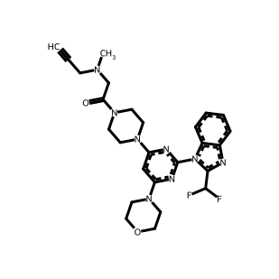 C#CCN(C)CC(=O)N1CCN(c2cc(N3CCOCC3)nc(-n3c(C(F)F)nc4ccccc43)n2)CC1